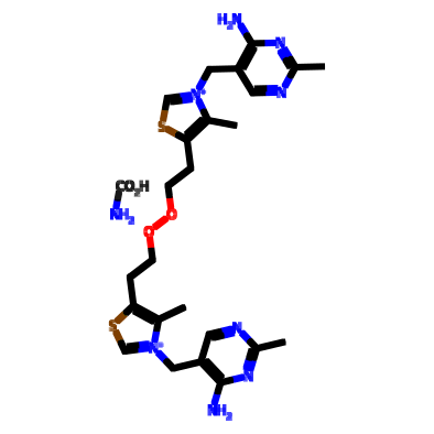 Cc1ncc(C[n+]2csc(CCOOCCc3sc[n+](Cc4cnc(C)nc4N)c3C)c2C)c(N)n1.NC(=O)O